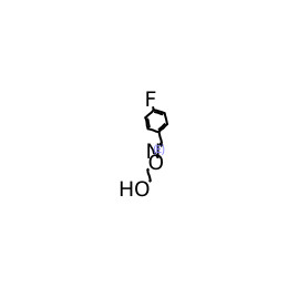 OCCO/N=C/c1ccc(F)cc1